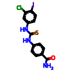 NC(=O)c1ccc(NC(=S)Nc2ccc(I)c(Cl)c2)cc1